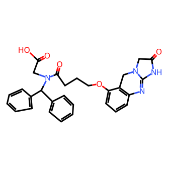 O=C(O)CN(C(=O)CCCOc1cccc2c1CN1CC(=O)NC1=N2)C(c1ccccc1)c1ccccc1